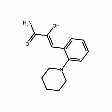 NC(=O)C(O)=Cc1ccccc1N1CCCCC1